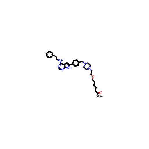 COC(=O)CCCCCOCCN1CCN(Cc2ccc(-c3cc4c(NCCc5ccccc5)ncnc4[nH]3)cc2)CC1